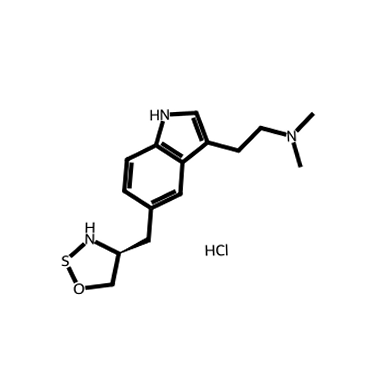 CN(C)CCc1c[nH]c2ccc(C[C@H]3COSN3)cc12.Cl